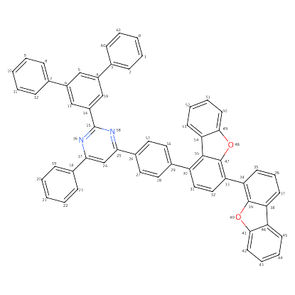 c1ccc(-c2cc(-c3ccccc3)cc(-c3nc(-c4ccccc4)cc(-c4ccc(-c5ccc(-c6cccc7c6oc6ccccc67)c6oc7ccccc7c56)cc4)n3)c2)cc1